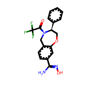 NC(=NO)c1ccc2c(c1)OC[C@H](c1ccccc1)N(C(=O)C(F)(F)F)C2